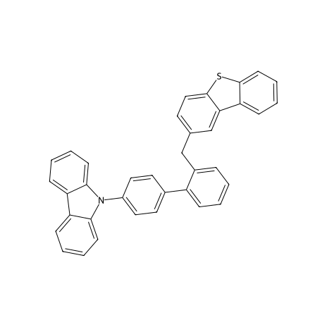 c1ccc(-c2ccc(-n3c4ccccc4c4ccccc43)cc2)c(Cc2ccc3sc4ccccc4c3c2)c1